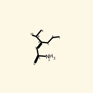 C=C(N)/C=C(\CCC)C(C)C